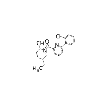 CCC1CCC(C)N(C(=O)c2cccc(-c3ccccc3Cl)n2)C1